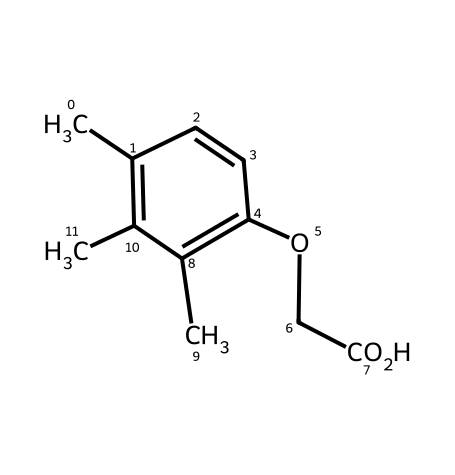 Cc1ccc(OCC(=O)O)c(C)c1C